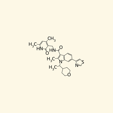 Cc1cc(C)c(CNC(=O)c2c(C)n(C(C)C3CCOCC3)c3cc(-c4cscn4)ccc23)c(=O)[nH]1